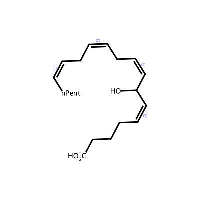 CCCCC/C=C\C/C=C\C/C=C\C(O)/C=C\CCCC(=O)O